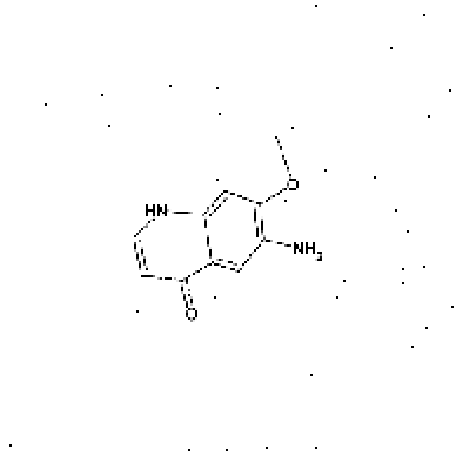 COc1cc2[nH]ccc(=O)c2cc1N